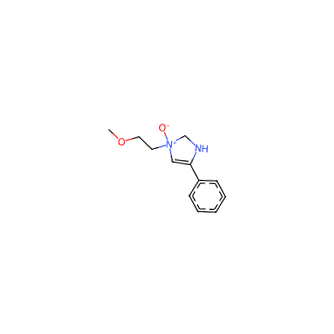 COCC[N+]1([O-])C=C(c2ccccc2)NC1